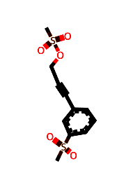 CS(=O)(=O)OCC#Cc1cccc(S(C)(=O)=O)c1